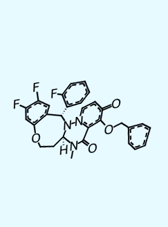 CN1C(=O)c2c(OCc3ccccc3)c(=O)ccn2N2[C@@H](c3ccccc3F)c3cc(F)c(F)cc3OCC[C@H]12